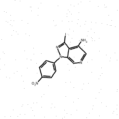 Nc1cncc2c1c(I)nn2-c1ccc([N+](=O)[O-])cc1